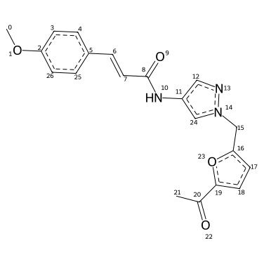 COc1ccc(C=CC(=O)Nc2cnn(Cc3ccc(C(C)=O)o3)c2)cc1